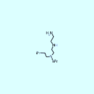 CCCN(CCNCCN)CCC(C)C